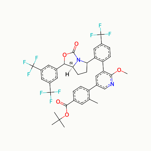 COc1ncc(-c2ccc(C(=O)OC(C)(C)C)cc2C)cc1-c1ccc(C(F)(F)F)cc1C1CC[C@H]2C(c3cc(C(F)(F)F)cc(C(F)(F)F)c3)OC(=O)N12